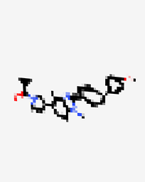 COc1ccc(-c2ccc(-c3nc4c(C)c(C5CCN(C(=O)C6CC6)C5)ccc4n3C)cc2)cc1